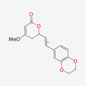 COC1=CC(=O)OC(/C=C/c2ccc3c(c2)OCCO3)C1